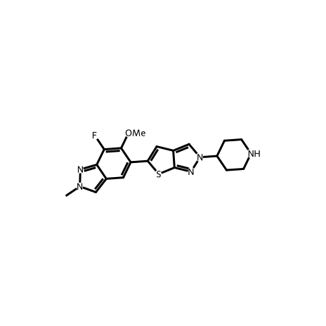 COc1c(-c2cc3cn(C4CCNCC4)nc3s2)cc2cn(C)nc2c1F